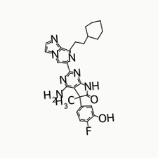 CC1(c2ccc(F)c(O)c2)C(=O)Nc2nc(-c3cn4ccnc4c(CCC4CCCCC4)n3)nc(N)c21